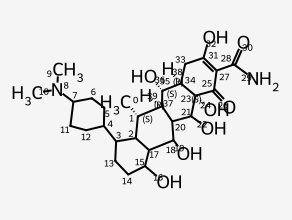 C[C@H]1C2C(C3CCC(N(C)C)CC3)CCC(O)C2C(O)C2C(O)[C@]3(O)C(=O)C(C(N)=O)=C(O)C[C@@H]3[C@@H](O)[C@@H]21